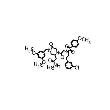 COc1ccc(S(=O)(=O)N(CCc2cccc(Cl)c2)CC(=O)N2CC(=O)N(Cc3cc(OC)cc(OC)c3)CC2CC(=O)NO)cc1